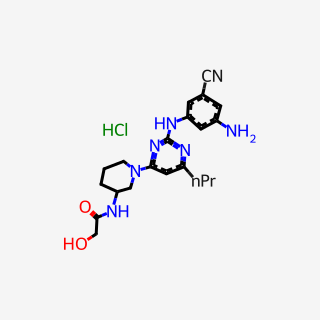 CCCc1cc(N2CCCC(NC(=O)CO)C2)nc(Nc2cc(N)cc(C#N)c2)n1.Cl